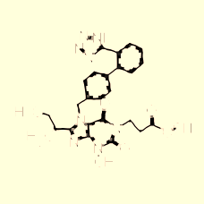 C=C(CC)c1nc2c(c(=O)n(CCC(=O)OC)c(=O)n2C)n1Cc1ccc(-c2ccccc2-c2nnn[nH]2)cc1